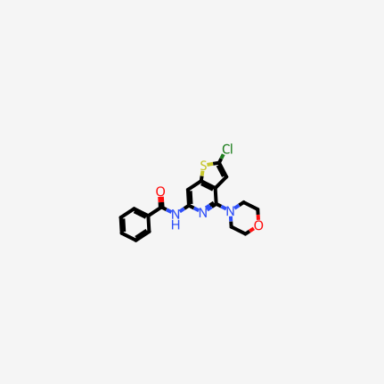 O=C(Nc1cc2sc(Cl)cc2c(N2CCOCC2)n1)c1ccccc1